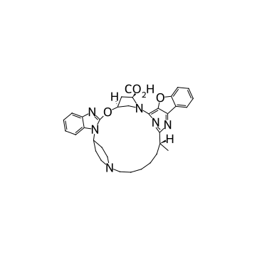 C[C@@H]1CCCCCN2CCC(CC2)n2c(nc3ccccc32)O[C@H]2C[C@@H](C(=O)O)N(C2)c2nc1nc1c2oc2ccccc21